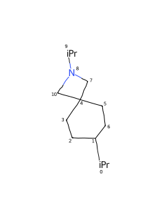 CC(C)C1CCC2(CC1)CN(C(C)C)C2